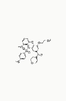 COc1cccc(Oc2c(NS(=O)(=O)c3ccc(SC)cc3)cc(C(=O)N3CCOCC3)cc2OCCO)c1